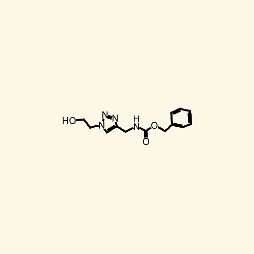 O=C(NCc1cn(CCO)nn1)OCc1ccccc1